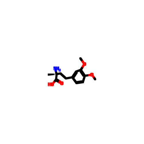 COc1ccc(CC[C@](C)(N)C(=O)O)cc1OC